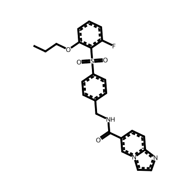 CCCOc1cccc(F)c1S(=O)(=O)c1ccc(CNC(=O)c2ccc3nccn3c2)cc1